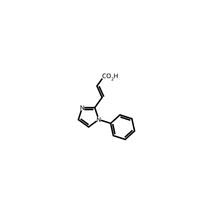 O=C(O)/C=C/c1nccn1-c1ccccc1